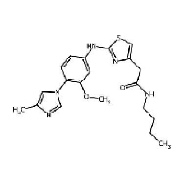 CCCCNC(=O)Cc1csc(Nc2ccc(-n3cnc(C)c3)c(OC)c2)n1